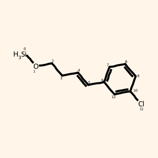 [SiH3]OCCC=Cc1cccc(Cl)c1